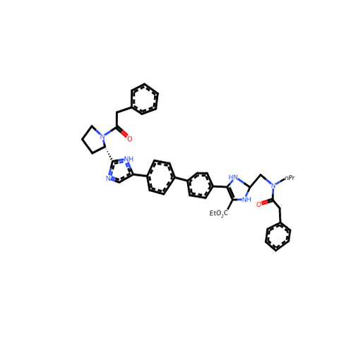 CCCN(CC1NC(C(=O)OCC)=C(c2ccc(-c3ccc(-c4cnc([C@@H]5CCCN5C(=O)Cc5ccccc5)[nH]4)cc3)cc2)N1)C(=O)Cc1ccccc1